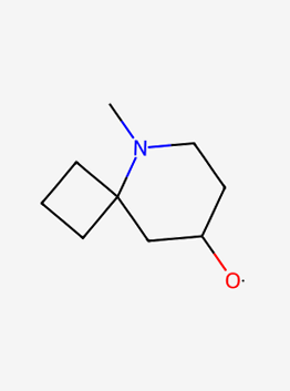 CN1CCC([O])CC12CCC2